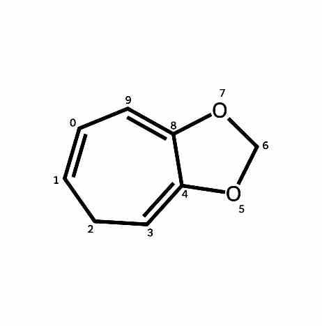 C1=CCC=C2OCOC2=C1